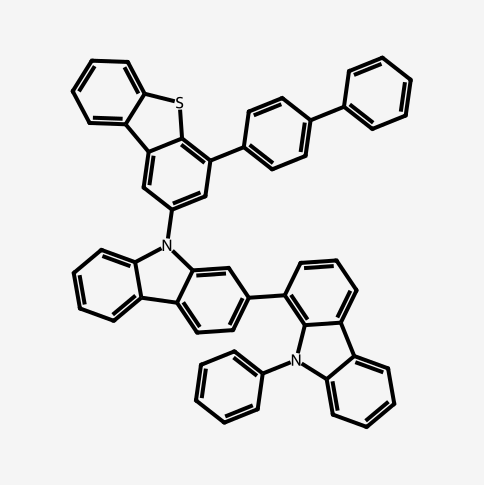 c1ccc(-c2ccc(-c3cc(-n4c5ccccc5c5ccc(-c6cccc7c8ccccc8n(-c8ccccc8)c67)cc54)cc4c3sc3ccccc34)cc2)cc1